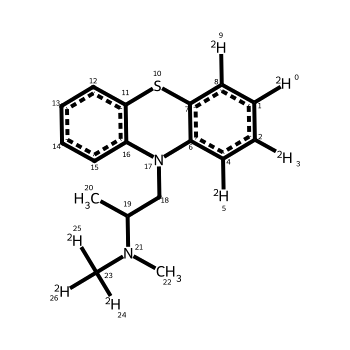 [2H]c1c([2H])c([2H])c2c(c1[2H])Sc1ccccc1N2CC(C)N(C)C([2H])([2H])[2H]